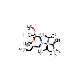 CCCCN(C[Si](C)(OC)OC)[Si](C(C)C)(C(C)C)C(C)C